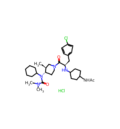 CC(=O)NC1CCC(N[C@H](Cc2ccc(Cl)cc2)C(=O)N2CC[C@H](N(C(=O)N(C)C)C3CCCCC3)[C@@H](C)C2)CC1.Cl